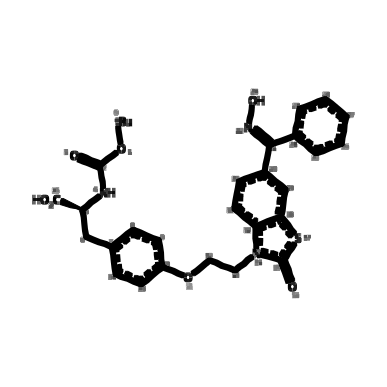 CC(C)(C)OC(=O)N[C@@H](Cc1ccc(OCCn2c(=O)sc3cc(C(=NO)c4ccccc4)ccc32)cc1)C(=O)O